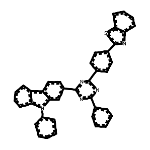 c1ccc(-c2nc(-c3ccc(-c4nc5ccccc5s4)cc3)nc(-c3ccc4c5ccccc5n(-c5ccccc5)c4c3)n2)cc1